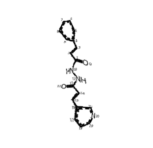 O=C(C=Cc1ccccc1)NNC(=O)C=Cc1cccnc1